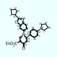 CCOC(=O)c1cn(-c2ccc3nc(C4CCCC4)oc3c2)c(-c2ccc(N3CCCC3)cc2)cc1=O